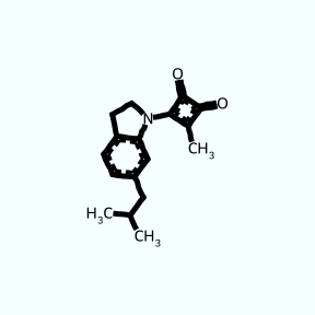 Cc1c(N2CCc3ccc(CC(C)C)cc32)c(=O)c1=O